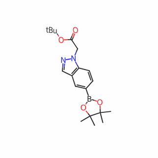 CC(C)(C)OC(=O)Cn1ncc2cc(B3OC(C)(C)C(C)(C)O3)ccc21